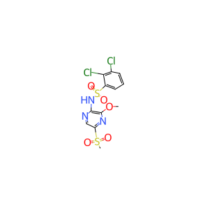 COc1nc(S(C)(=O)=O)cnc1NS(=O)(=O)c1cccc(Cl)c1Cl